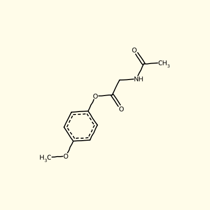 COc1ccc(OC(=O)CNC(C)=O)cc1